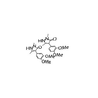 COc1ccc(-c2c(C)[nH]n(C)c2=O)cc1OC.COc1ccc(-c2c(C)[nH]n(C)c2=O)cc1OC